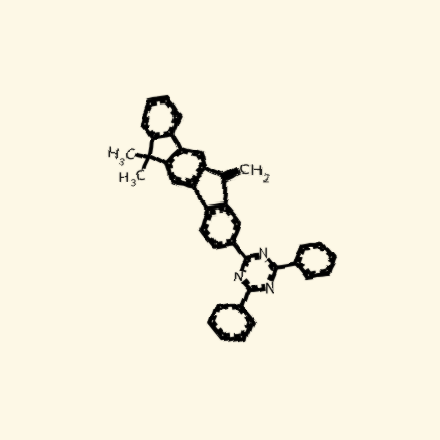 C=C1c2cc(-c3nc(-c4ccccc4)nc(-c4ccccc4)n3)ccc2-c2cc3c(cc21)-c1ccccc1C3(C)C